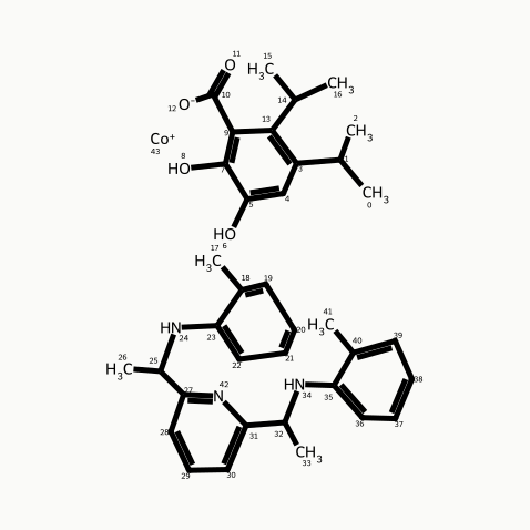 CC(C)c1cc(O)c(O)c(C(=O)[O-])c1C(C)C.Cc1ccccc1NC(C)c1cccc(C(C)Nc2ccccc2C)n1.[Co+]